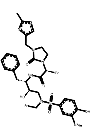 CNc1cc(S(=O)(=O)N(CC(C)C)C[C@@H](O)[C@H](Cc2ccccc2)NC(=O)[C@H](C(C)C)N2CCN(Cc3csc(C)n3)C2=O)ccc1O